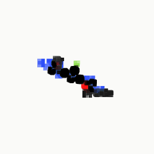 CON[C@H](C(=O)N1CCCC1C(=O)Nc1ccc([C@H]2CC[C@H](c3ccc4[nH]c([C@@H]5CCCN5C(=O)[C@@H](N)C(C)C)nc4c3)N2c2ccc(F)cc2)cc1)C(C)C